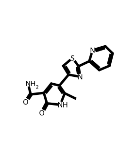 Cc1[nH]c(=O)c(C(N)=O)cc1-c1csc(-c2ccccn2)n1